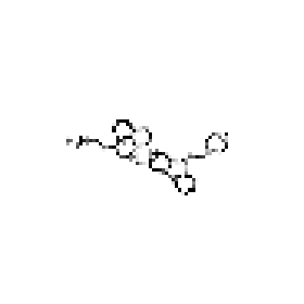 NCCCCN(Cc1cc2c3ccccc3n(CCN3CCOCC3)c2cn1)[C@H]1CCCc2cccnc21